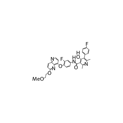 COCCOc1ccc2nccc(Oc3ccc(NC(=O)c4c(C)nc(C)c(-c5ccc(F)cc5)c4O)cc3F)c2n1